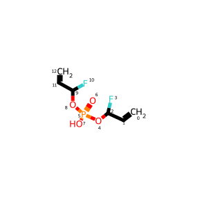 C=CC(F)OP(=O)(O)OC(F)C=C